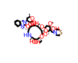 CC[C@H]1OC(=O)[C@H](C)[C@@H](O[C@H]2C[C@@](C)(OC)[C@](O)(CN3CCSCC3)[C@H](C)O2)[C@H](C)[C@@H](O[C@@H]2O[C@H](C)C[C@H](N(C)C(=O)N(C)c3ccccc3)[C@H]2O)[C@](C)(O)C[C@@H](C)CN[C@H](C)[C@@H](O)[C@]1(C)O